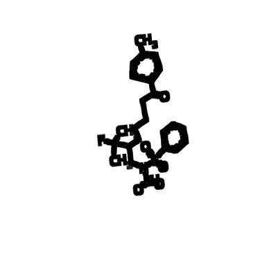 Cc1ccc(C(=O)CCCCC(CN([SH](=O)=O)S(=O)(=O)c2ccccc2)C(C)(C)F)cc1